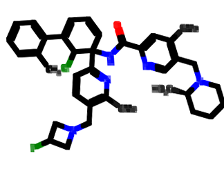 COc1cc(C(=O)NC2(c3ccc(CN4CC(F)C4)c(OC)n3)C=CC=C(c3ccccc3C)C2Cl)ncc1CN1CCCC[C@H]1C(=O)O